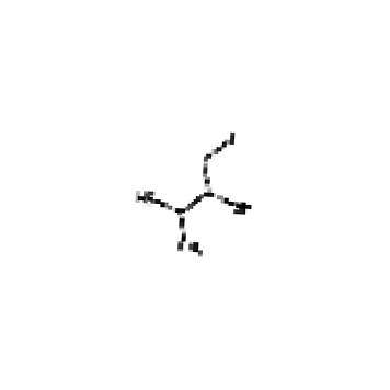 CC(S)C(S)CI